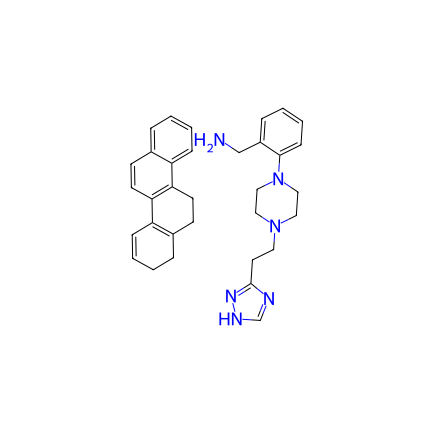 C1=CC2=C(CC1)CCc1c2ccc2ccccc12.NCc1ccccc1N1CCN(CCc2nc[nH]n2)CC1